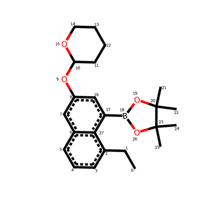 CCc1cccc2cc(OC3CCCCO3)cc(B3OC(C)(C)C(C)(C)O3)c12